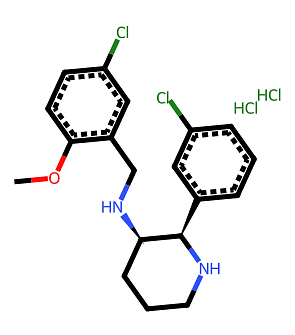 COc1ccc(Cl)cc1CN[C@@H]1CCCN[C@@H]1c1cccc(Cl)c1.Cl.Cl